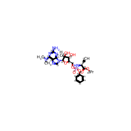 C#C[C@H](NP(=O)(OC[C@H]1O[C@@H](n2cnc3c(N(C)C)nc(N)nc32)[C@](C)(O)[C@@H]1O)Oc1ccccc1)C(=O)OC(C)C